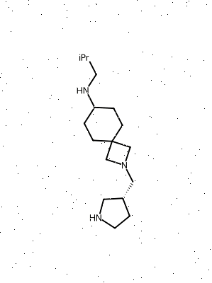 CC(C)CNC1CCC2(CC1)CN(C[C@@H]1CCNC1)C2